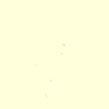 OC(c1cn(-c2nccc(Br)c2Cl)nn1)c1c(C2CC2)sc2cncn12